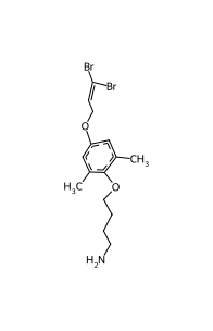 Cc1cc(OCC=C(Br)Br)cc(C)c1OCCCCN